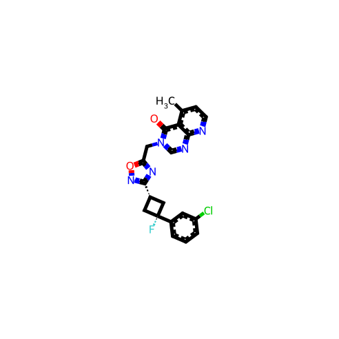 Cc1ccnc2ncn(Cc3nc([C@H]4C[C@](F)(c5cccc(Cl)c5)C4)no3)c(=O)c12